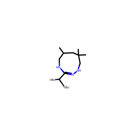 CCCCC(CCCC)/C1=N/NCC(C)(C)CC(C)CN1